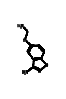 CCOc1ccc2onc(N)c2c1